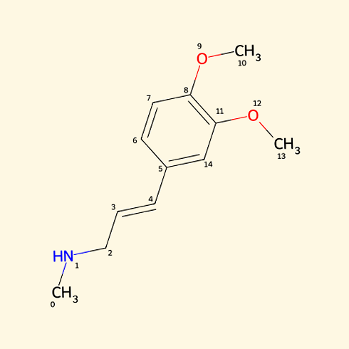 CNC/C=C/c1ccc(OC)c(OC)c1